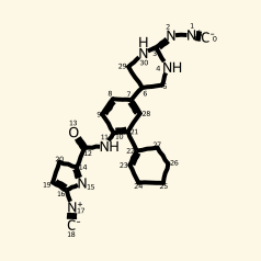 [C-]#[N+]N=C1NCC(c2ccc(NC(=O)C3=NC([N+]#[C-])=CC3)c(C3=CCCCC3)c2)CN1